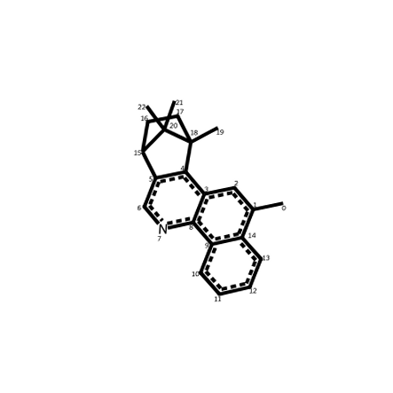 Cc1cc2c3c(cnc2c2ccccc12)C1CCC3(C)C1(C)C